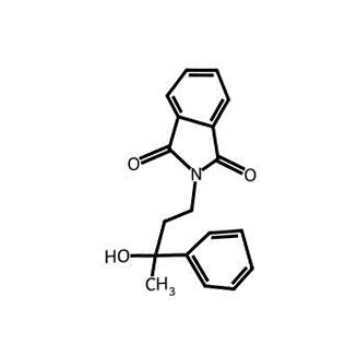 CC(O)(CCN1C(=O)c2ccccc2C1=O)c1ccccc1